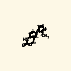 Cc1nccn1-c1ccc2c(c1)COC(=O)N2